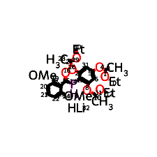 CCOC(C)Oc1cc(OC(C)OCC)c(PC(=O)c2c(OC)cccc2OC)c(OC(C)OCC)c1.[LiH]